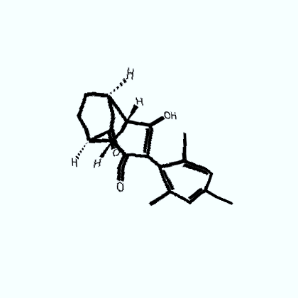 Cc1cc(C)c(C2=C(O)[C@H]3[C@@H]4CC[C@@H](C(=O)C4)[C@H]3C2=O)c(C)c1